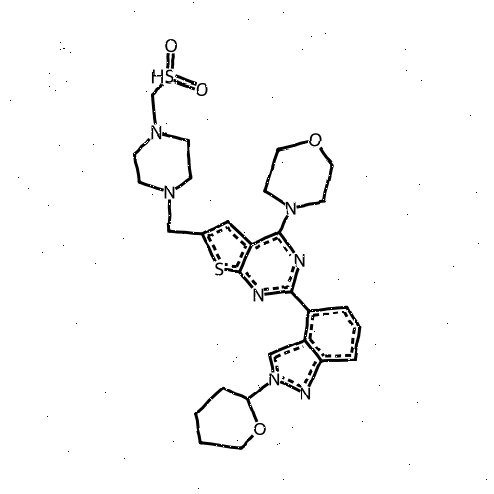 O=[SH](=O)CN1CCN(Cc2cc3c(N4CCOCC4)nc(-c4cccc5nn(C6CCCCO6)cc45)nc3s2)CC1